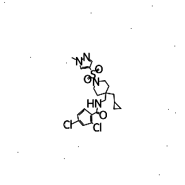 Cn1cc(S(=O)(=O)N2CCC(CNC(=O)c3ccc(Cl)cc3Cl)(CC3CC3)CC2)cn1